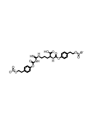 N=C(NCCCC(NC(=O)Oc1ccc(CCO[N+](=O)[O-])cc1)C(=O)O)NC(=O)Oc1ccc(CCO[N+](=O)[O-])cc1